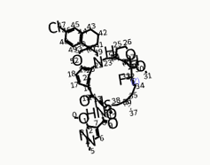 COc1nn(C)cc1C(=O)NS1(=O)=NC(=O)c2ccc3c(c2)N(C[C@@H]2CCO[C@H]2C(OC)/C(F)=C/C[C@H](C)C1)C[C@@]1(CCCc2cc(Cl)ccc21)CO3